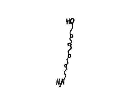 NCCCOCCOCCOCCOCCO